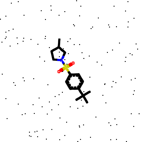 CC1CCN(S(=O)(=O)c2ccc(C(C)(C)C)cc2)C1